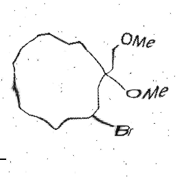 COC1(OC)CCCCCC1Br